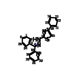 c1ccc(/C(=N\Nc2nc(-c3ccccc3)cs2)c2ccccn2)cc1